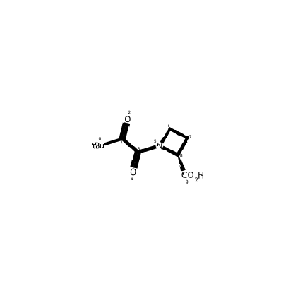 CC(C)(C)C(=O)C(=O)N1CC[C@H]1C(=O)O